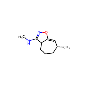 CNC1=NOC2=CC(C)CCCC21